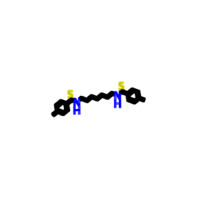 Cc1ccc(C(=S)NCCCCCCCNC(=S)c2ccc(C)cc2)cc1